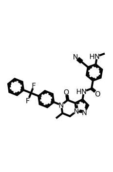 CNc1ccc(C(=O)Nc2cnn3c2C(=O)N(c2ccc(C(F)(F)c4ccccc4)cc2)C(C)C3)cc1C#N